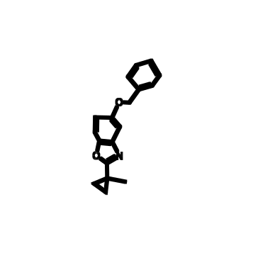 CC1(c2nc3cc(OCc4ccccc4)ccc3o2)CC1